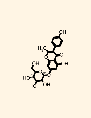 Cc1oc2cc(O[C@@H]3OC(CO)[C@@H](O)C(O)C3O)cc(O)c2c(=O)c1-c1ccc(O)cc1